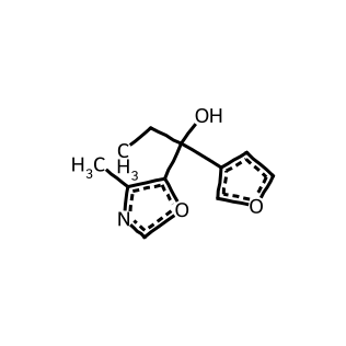 CCC(O)(c1ccoc1)c1ocnc1C